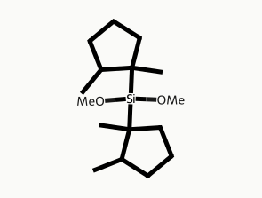 CO[Si](OC)(C1(C)CCCC1C)C1(C)CCCC1C